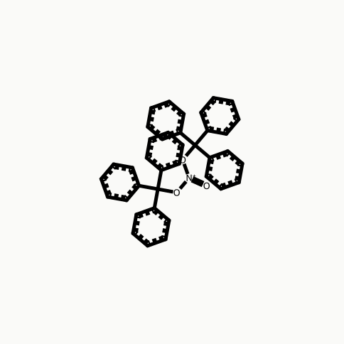 O=[N+](OC(c1ccccc1)(c1ccccc1)c1ccccc1)OC(c1ccccc1)(c1ccccc1)c1ccccc1